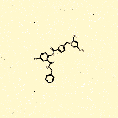 Cc1cc(C)n(Cc2ccc(C(=O)Nc3ccc(Cl)cc3C(=O)NCc3ccccc3)o2)n1